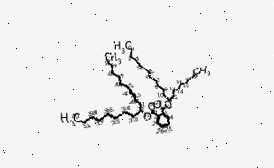 CCCCCCCCCCCC(CCCCCCCC)OC(=O)c1ccccc1C(=O)OC(CCCCCCCC)CCCCCCCCCCC